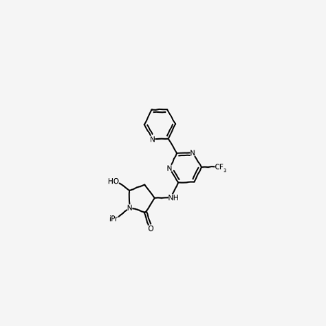 CC(C)N1C(=O)C(Nc2cc(C(F)(F)F)nc(-c3ccccn3)n2)CC1O